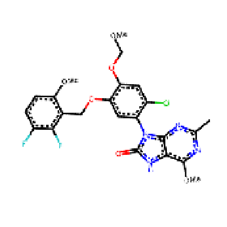 COCOc1cc(Cl)c(-n2c(=O)[nH]c3c(OC)nc(C)nc32)cc1OCc1c(OC)ccc(F)c1F